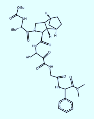 CCCC(NC(=O)[C@@H]1[C@@H]2C(CN1C(=O)[C@@H](NC(=O)OCC(C)C)C(C)(C)C)[C@@H]1CC[C@@H]2C1)C(=O)C(=O)NCC(=O)NC(C(=O)N(C)C)c1ccccc1